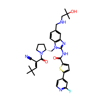 CC(C)(C)C=C(C#N)C(=O)N1CCC[C@@H]1Cn1c(NC(=O)c2ccc(-c3ccnc(F)c3)s2)nc2cc(CNCC(C)(C)O)ccc21